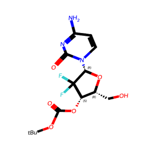 CC(C)(C)OC(=O)O[C@H]1[C@@H](CO)O[C@@H](n2ccc(N)nc2=O)C1(F)F